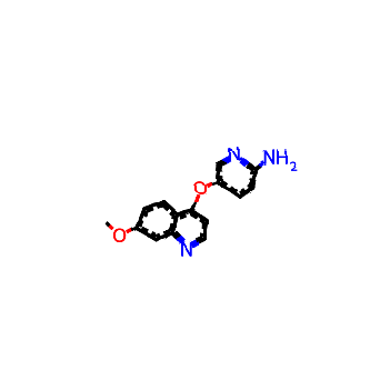 COc1ccc2c(Oc3ccc(N)nc3)ccnc2c1